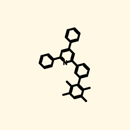 Cc1cc(C)c(C)c(-c2cccc(-c3cc(-c4ccccc4)cc(-c4ccccc4)n3)c2)c1C